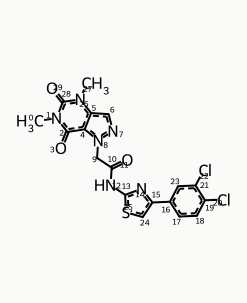 Cn1c(=O)c2c(cnn2CC(=O)Nc2nc(-c3ccc(Cl)c(Cl)c3)cs2)n(C)c1=O